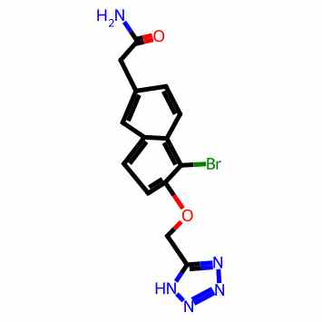 NC(=O)Cc1ccc2c(Br)c(OCc3nnn[nH]3)ccc2c1